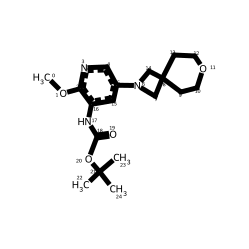 COc1ncc(N2CC3(CCOCC3)C2)cc1NC(=O)OC(C)(C)C